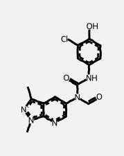 Cc1nn(C)c2ncc(N(C=O)C(=O)Nc3ccc(O)c(Cl)c3)cc12